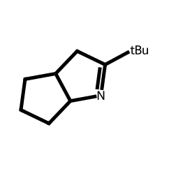 CC(C)(C)C1=NC2CCCC2C1